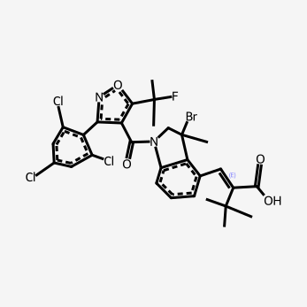 CC(C)(C)/C(=C\c1cccc2c1C(C)(Br)CN2C(=O)c1c(-c2c(Cl)cc(Cl)cc2Cl)noc1C(C)(C)F)C(=O)O